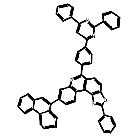 c1ccc(-c2cc(-c3ccc(-c4nc5cc(-c6cc7ccccc7c7ccccc67)ccc5c5c4ccc4oc(-c6ccccc6)nc45)cc3)nc(-c3ccccc3)n2)cc1